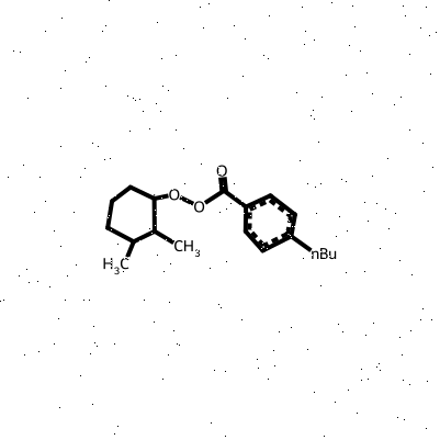 CCCCc1ccc(C(=O)OO[C]2CCCC(C)C2C)cc1